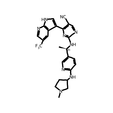 C[C@@H](Nc1ncc(C#N)c(-c2c[nH]c3ncc(C(F)(F)F)cc23)n1)c1ccc(NC2CCN(C)C2)nc1